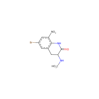 O=C(O)NC1Cc2cc(Br)cc([N+](=O)[O-])c2NC1=O